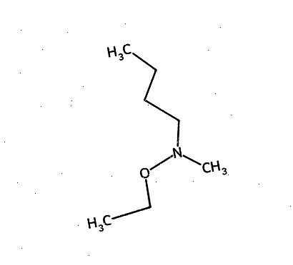 CCCCN(C)OCC